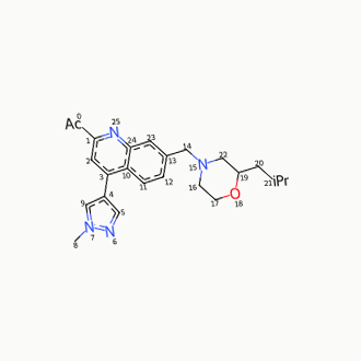 CC(=O)c1cc(-c2cnn(C)c2)c2ccc(CN3CCOC(CC(C)C)C3)cc2n1